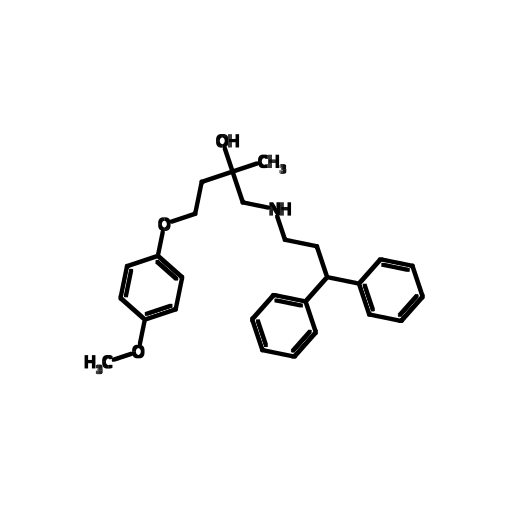 COc1ccc(OCCC(C)(O)CNCCC(c2ccccc2)c2ccccc2)cc1